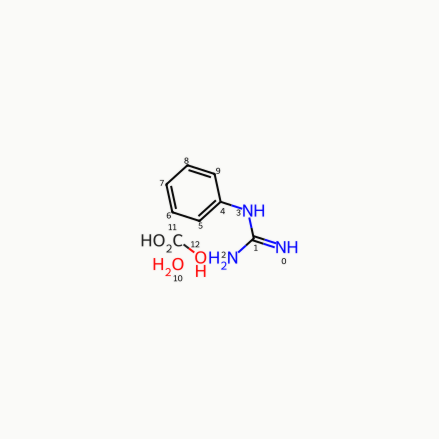 N=C(N)Nc1ccccc1.O.O=C(O)O